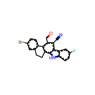 N#Cc1c(C=O)c2c(c3[nH]c4ccc(F)cc4c13)CCc1cc(Br)ccc1-2